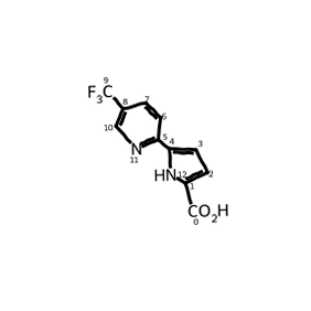 O=C(O)c1ccc(-c2ccc(C(F)(F)F)cn2)[nH]1